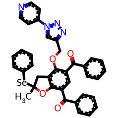 CC1([Se]c2ccccc2)Cc2c(OCc3cn(-c4ccncc4)nn3)c(C(=O)c3ccccc3)cc(C(=O)c3ccccc3)c2O1